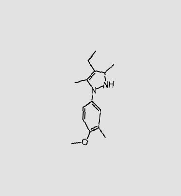 CCC1=C(C)N(c2ccc(OC)c(C)c2)NC1C